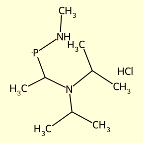 CN[P]C(C)N(C(C)C)C(C)C.Cl